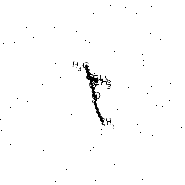 CCCCCCCCC=CCOC(=O)CCCCCOCC(COCCCCCCC)N(C)C